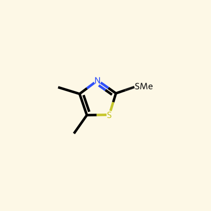 CSc1nc(C)c(C)s1